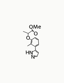 COC(=O)C(C)Oc1cccc(-c2ccn[nH]2)c1C